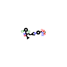 CS(=O)(=O)NC(=O)c1ccc(N2CC3C(C=Cc4c(-c5c(Cl)cccc5Cl)noc4C4CC4)C3C2)cc1